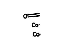 C=O.[Co].[Co]